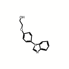 OCCOc1ccc(-n2cnc3ccccc32)cc1